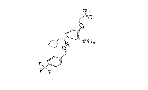 Cc1cc(C(CC2CCCC2)=NOCc2ccc(C(F)(F)F)cc2)ccc1OCC(=O)O